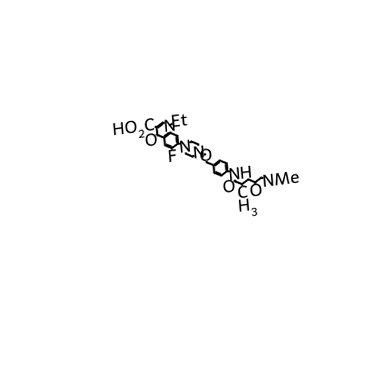 CCn1cc(C(=O)O)c(=O)c2cc(F)c(N3CCN(OCc4ccc(NC(=O)[C@H](C)CC(=O)CNC)cc4)CC3)cc21